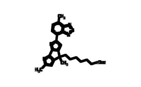 CCCCCCCCCCCCCCCCC1(C)c2cc(C)sc2-c2sc(-c3ccc(C)c4nsnc34)cc21